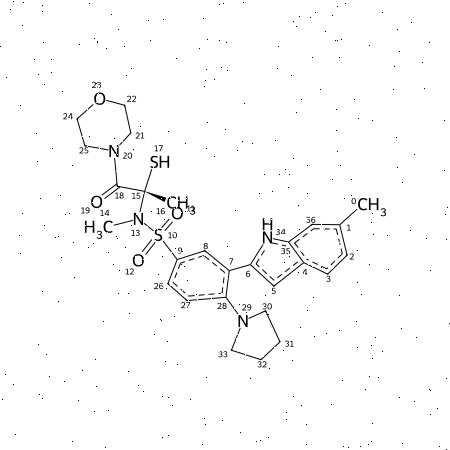 Cc1ccc2cc(-c3cc(S(=O)(=O)N(C)[C@@](C)(S)C(=O)N4CCOCC4)ccc3N3CCCC3)[nH]c2c1